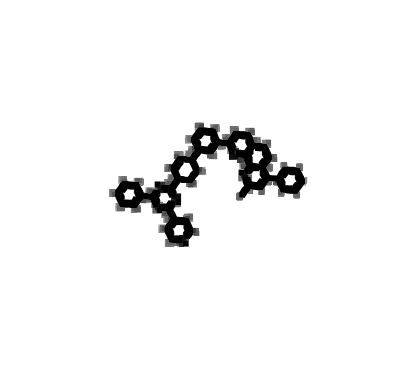 Cc1cc(-c2ccccc2)c2ccc3ccc(-c4cccc(C5C=CC(c6nc(-c7ccccc7)nc(-c7ccncc7)n6)CC5)c4)nc3c2n1